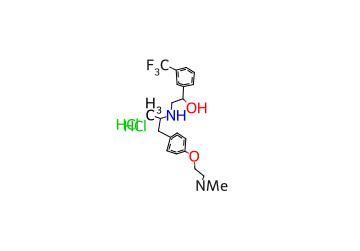 CNCCOc1ccc(CC(C)NCC(O)c2cccc(C(F)(F)F)c2)cc1.Cl.Cl